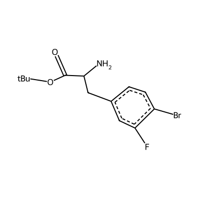 CC(C)(C)OC(=O)C(N)Cc1ccc(Br)c(F)c1